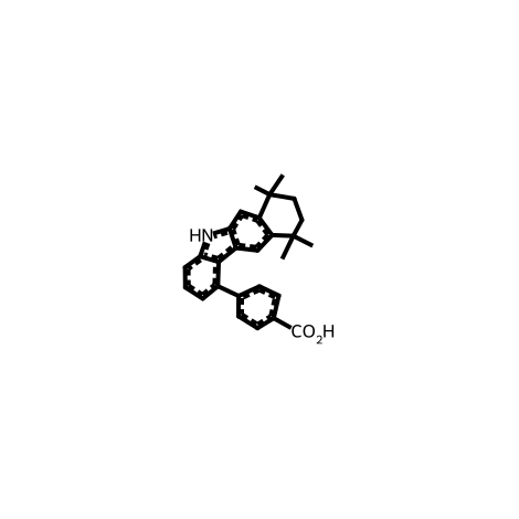 CC1(C)CCC(C)(C)c2cc3c(cc21)[nH]c1cccc(-c2ccc(C(=O)O)cc2)c13